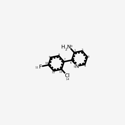 Nc1[c]ccnc1-c1ccc(F)cc1Cl